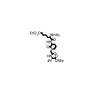 CCOC(=O)/C=C/CC[C@H](NC(C)=O)C(=O)Nc1cccn(CC(=O)N[C@H](C(=O)OC)C(C)C)c1=O